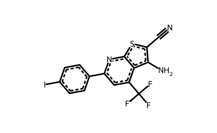 N#Cc1sc2nc(-c3ccc(I)cc3)cc(C(F)(F)F)c2c1N